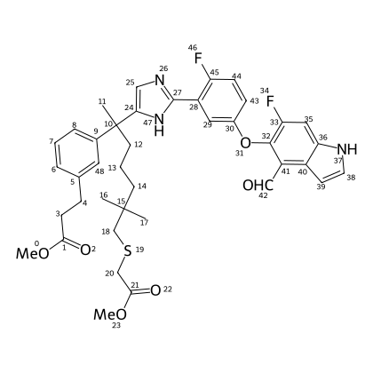 COC(=O)CCc1cccc(C(C)(CCCC(C)(C)CSCC(=O)OC)c2cnc(-c3cc(Oc4c(F)cc5[nH]ccc5c4C=O)ccc3F)[nH]2)c1